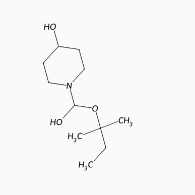 CCC(C)(C)OC(O)N1CCC(O)CC1